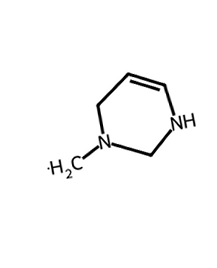 [CH2]N1CC=CNC1